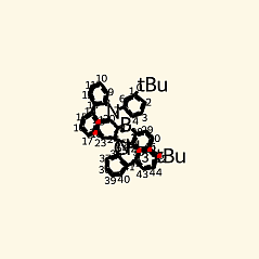 CC(C)(C)c1ccc2c(c1)N(c1ccccc1-c1ccccc1)C1=CC=CC3(C)C1B2c1ccc(C(C)(C)C)cc1N3c1ccccc1-c1ccccc1